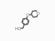 OCc1ccc(OC2CCOCC2)cc1